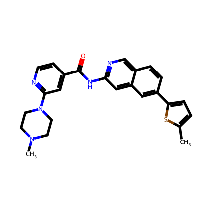 Cc1ccc(-c2ccc3cnc(NC(=O)c4ccnc(N5CCN(C)CC5)c4)cc3c2)s1